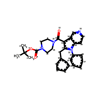 CC(C)(C)OC(=O)N1CCN(C(=O)c2c(Cc3ccccc3)n(-c3ccccc3)c3ccncc23)CC1